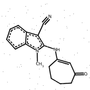 Cn1c(NC2=CC(=O)CCCC2)c(C#N)c2ccccc21